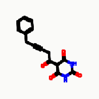 O=C1NC(=O)C(C(=O)CC#CCc2ccccc2)C(=O)N1